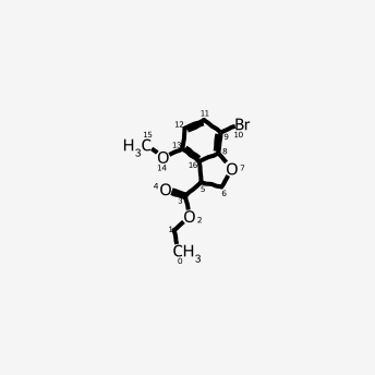 CCOC(=O)C1COc2c(Br)ccc(OC)c21